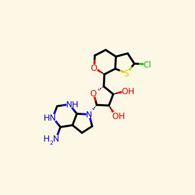 NC1NCNC2C1CCN2[C@@H]1O[C@H]([C@H]2OCCC3CC(Cl)SC32)[C@@H](O)[C@H]1O